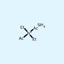 CC[N+](CC)(C(C)=O)C(C)=O.[SiH4]